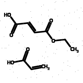 C=CC(=O)O.CCOC(=O)/C=C/C(=O)O